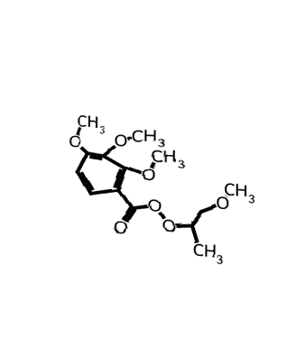 COC[C](C)OOC(=O)c1ccc(OC)c(OC)c1OC